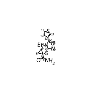 CCn1c(SC2(C(N)=O)CC2)nnc1-c1ccsc1